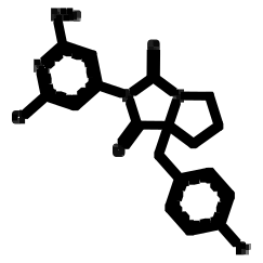 CNc1cc(N2C(=O)N3CCCC3(Cc3ccc(Br)cc3)C2=O)cc(Cl)n1